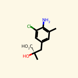 Cc1cc(C[C@@](C)(O)C(=O)O)cc(Cl)c1N